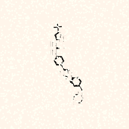 CC(C)(C)c1cc(NC(=O)Nc2ccc(-c3cn4c(n3)sc3cc(CN5CCOCC5)ccc34)cc2)no1